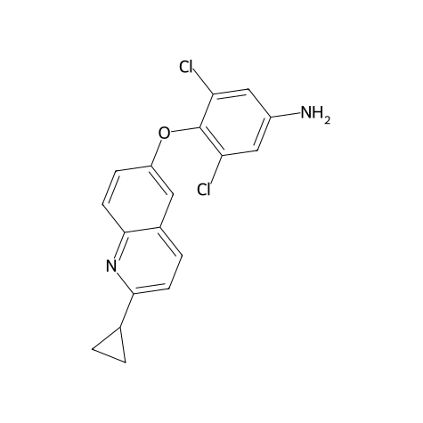 Nc1cc(Cl)c(Oc2ccc3nc(C4CC4)ccc3c2)c(Cl)c1